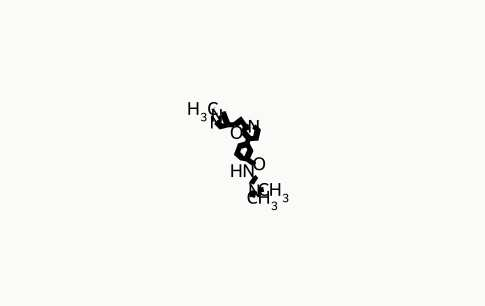 CN(C)CCNC(=O)c1cccc(-c2ccnc3cc(-c4cnn(C)c4)oc23)c1